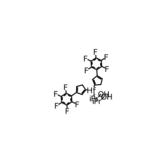 CC(C)O.CC(C)O.[CH2]=[Hf]([C]1=CC(c2c(F)c(F)c(F)c(F)c2F)=CC1)[C]1=CC(c2c(F)c(F)c(F)c(F)c2F)=CC1